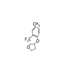 Cc1ccc(OC2CCOC2)c(C(F)(F)F)c1